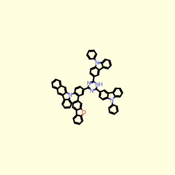 c1ccc(-n2c3ccccc3c3cc(C4=NC(c5ccc(-n6c7ccccc7c7cc8ccccc8cc76)c(-c6ccc7c(c6)oc6ccccc67)c5)=NC(c5ccc6c(c5)c5ccccc5n6-c5ccccc5)N4)ccc32)cc1